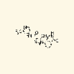 Cc1c(C(=O)Nc2ccnc(C(F)(F)F)c2)nnn1-c1cccc2c(=O)[nH]ccc12